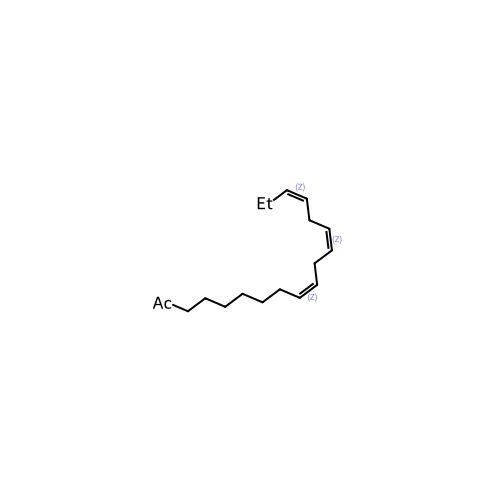 CC/C=C\C/C=C\C/C=C\CCCCCCC(C)=O